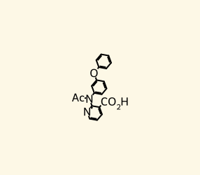 CC(=O)N(c1cccc(Oc2ccccc2)c1)c1ncccc1C(=O)O